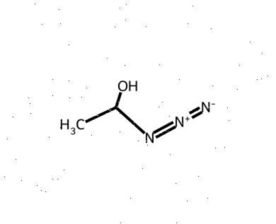 CC(O)N=[N+]=[N-]